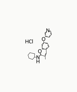 CC(=Cc1ccc(Oc2cccnc2)cc1)C(=O)NC1CCCCC1.Cl